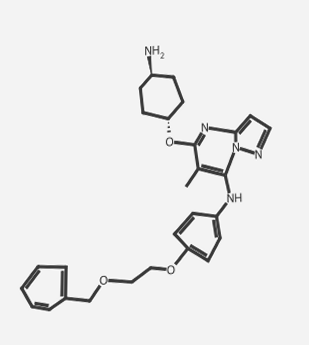 Cc1c(O[C@H]2CC[C@H](N)CC2)nc2ccnn2c1Nc1ccc(OCCOCc2ccccc2)cc1